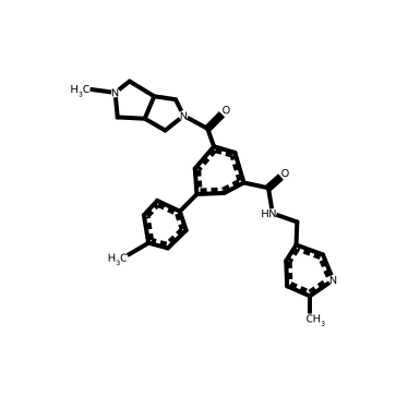 Cc1ccc(-c2cc(C(=O)NCc3ccc(C)nc3)cc(C(=O)N3CC4CN(C)CC4C3)c2)cc1